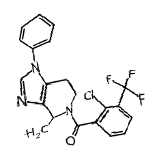 [CH2]C1c2ncn(-c3ccccc3)c2CCN1C(=O)c1cccc(C(F)(F)F)c1Cl